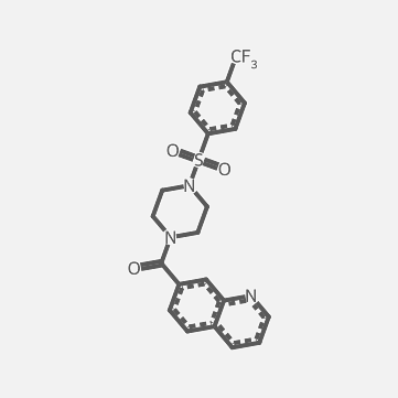 O=C(c1ccc2cccnc2c1)N1CCN(S(=O)(=O)c2ccc(C(F)(F)F)cc2)CC1